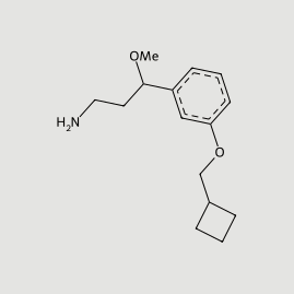 COC(CCN)c1cccc(OCC2CCC2)c1